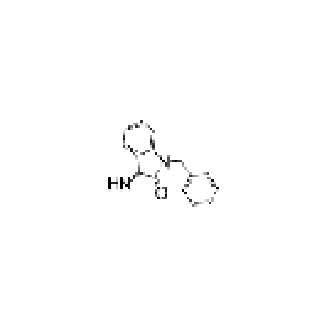 N=C1C(=O)N(Cc2ccccc2)c2ccccc21